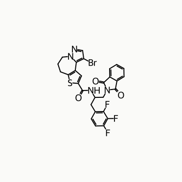 O=C(NC(Cc1ccc(F)c(F)c1F)CN1C(=O)c2ccccc2C1=O)c1cc2c(s1)CCCn1ncc(Br)c1-2